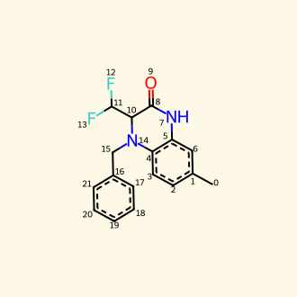 Cc1ccc2c(c1)NC(=O)C(C(F)F)N2Cc1ccccc1